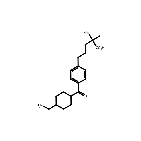 CCCCC(C)(CCCc1ccc(C(=O)C2CCC(CN)CC2)cc1)C(=O)O